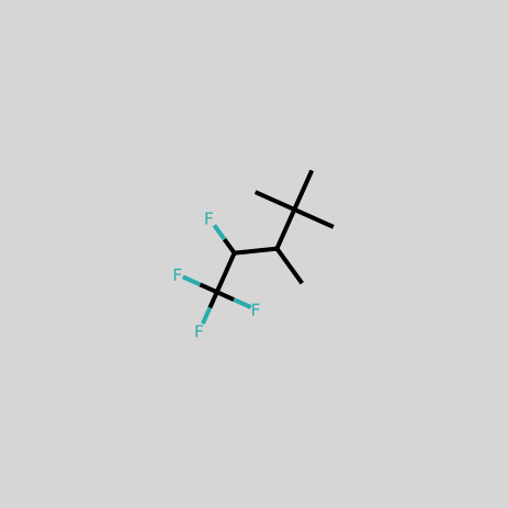 CC(C(F)C(F)(F)F)C(C)(C)C